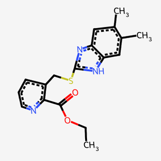 CCOC(=O)c1ncccc1CSc1nc2cc(C)c(C)cc2[nH]1